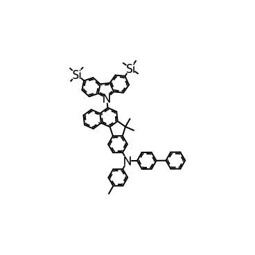 Cc1ccc(N(c2ccc(-c3ccccc3)cc2)c2ccc3c(c2)C(C)(C)c2cc(-n4c5ccc([Si](C)(C)C)cc5c5cc([Si](C)(C)C)ccc54)c4ccccc4c2-3)cc1